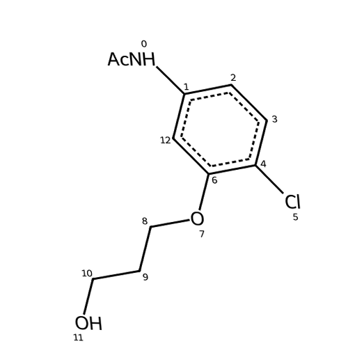 CC(=O)Nc1ccc(Cl)c(OCCCO)c1